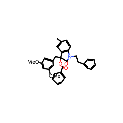 COc1cc(CC2(OC(=O)c3ccccc3)C(=O)N(CCc3ccccc3)c3ccc(C)cc32)cc(OC)c1